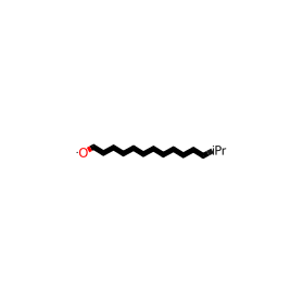 CC(C)CCCCCCCCCCCC[O]